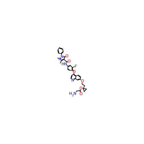 Cc1c(C(=O)Nc2ccc(Oc3ccnc4cc(OCCC5(OC(=O)CN)CC5)ccc34)c(F)c2)c(=O)n(-c2ccccc2)n1C